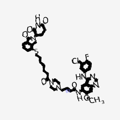 COc1cc2ncnc(Nc3ccc(F)c(Cl)c3)c2cc1NC(=O)/C=C/CN1CCN(C(=O)CCCCCCSc2cccc3c2CN(C2CCC(=O)NC2=O)C3=O)CC1